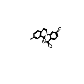 Cc1ccc2ccn3c4cc(F)ccc4c(=O)nc3c2c1